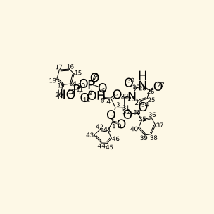 O=C(OC1[C@@H](COP(=O)(O)OP(=O)(O)c2ccccc2I)O[C@@H](n2ccc(=O)[nH]c2=O)[C@H]1OC(=O)c1ccccc1)c1ccccc1